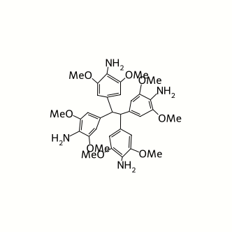 COc1cc(C(c2cc(OC)c(N)c(OC)c2)C(c2cc(OC)c(N)c(OC)c2)c2cc(OC)c(N)c(OC)c2)cc(OC)c1N